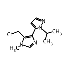 CC(C)n1nccc1-c1ncn(C)c1CCl